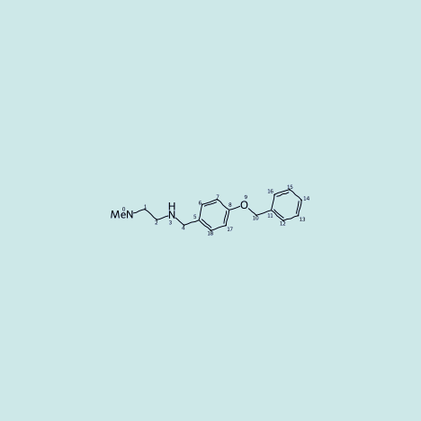 CNCCNCc1ccc(OCc2ccccc2)cc1